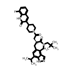 CC(C)c1cc2c(c3cn[nH]c13)CN(CC(C)(C)C)C(=O)[C@H](CC(=O)N1CCC(c3cc4cccc(F)c4[nH]c3=O)CC1)C2